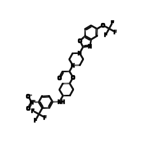 O=CC(OC1CCC(Nc2ccc([N+](=O)[O-])c(C(F)(F)F)c2)CC1)N1CCN(c2nc3cc(OC(F)(F)F)ccc3o2)CC1